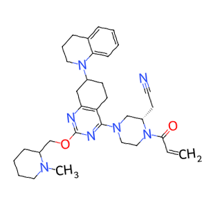 C=CC(=O)N1CCN(c2nc(OCC3CCCCN3C)nc3c2CCC(N2CCCc4ccccc42)C3)C[C@@H]1CC#N